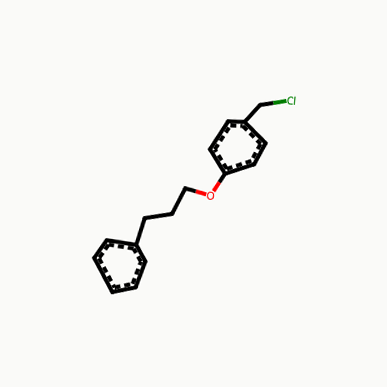 ClCc1ccc(OCCCc2ccccc2)cc1